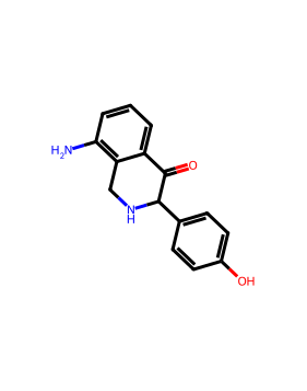 Nc1cccc2c1CNC(c1ccc(O)cc1)C2=O